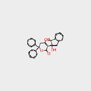 O=C1OC(c2ccccc2)(c2ccccc2)CC(O)=C1C1(O)Cc2ccccc2C1=S